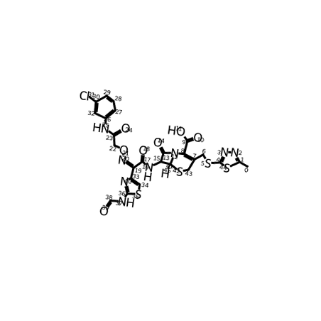 Cc1nnc(SCC2=C(C(=O)O)N3C(=O)C(NC(=O)/C(=N\OCC(=O)Nc4cccc(Cl)c4)c4csc(NC=O)n4)[C@H]3SC2)s1